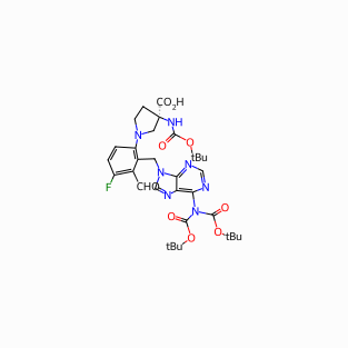 CC(C)(C)OC(=O)N[C@]1(C(=O)O)CCN(c2ccc(F)c(C=O)c2Cn2cnc3c(N(C(=O)OC(C)(C)C)C(=O)OC(C)(C)C)ncnc32)C1